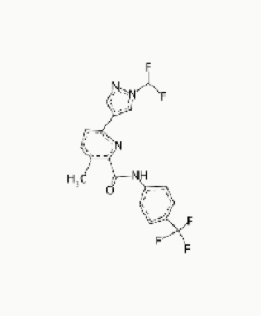 Cc1ccc(-c2cnn(C(F)F)c2)nc1C(=O)Nc1ccc(C(F)(F)F)cc1